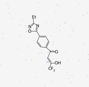 CCc1noc(-c2ccc(C(=O)/C=C(\O)C(F)(F)F)cc2)n1